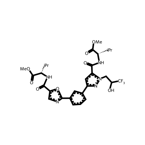 COC(=O)[C@@H](NC(=O)c1cnc(-c2cccc(-c3cc(C(=O)N[C@H](C(=O)OC)C(C)C)n(CC(O)C(F)(F)F)n3)c2)o1)C(C)C